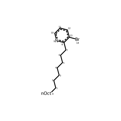 CCCCCCCCCCCCCCCc1ncccc1Br